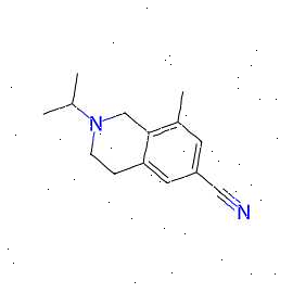 Cc1cc(C#N)cc2c1CN(C(C)C)CC2